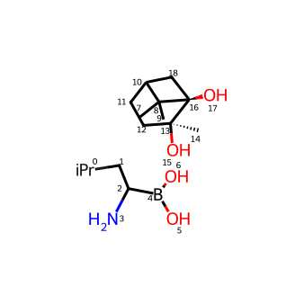 CC(C)CC(N)B(O)O.CC1(C)C2CC[C@](C)(O)[C@@]1(O)C2